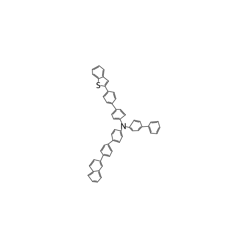 c1ccc(-c2ccc(N(c3ccc(-c4ccc(-c5ccc6ccccc6c5)cc4)cc3)c3ccc(-c4ccc(-c5cc6ccccc6s5)cc4)cc3)cc2)cc1